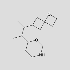 CC(C1CC2(CCO2)C1)C(C)C1CCNCO1